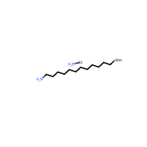 CCCCCCCCCCCCCCCCCCCCCCN.CCN